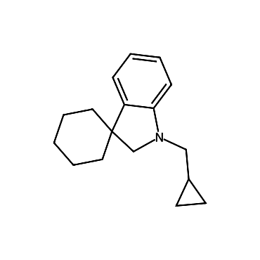 c1ccc2c(c1)N(CC1CC1)CC21CCCCC1